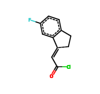 O=C(Cl)C=C1CCc2ccc(F)cc21